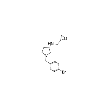 Brc1ccc(CN2CCC(NCC3CO3)C2)cc1